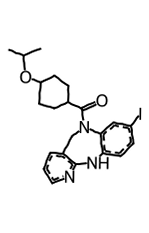 CC(C)OC1CCC(C(=O)N2Cc3cccnc3Nc3ccc(I)cc32)CC1